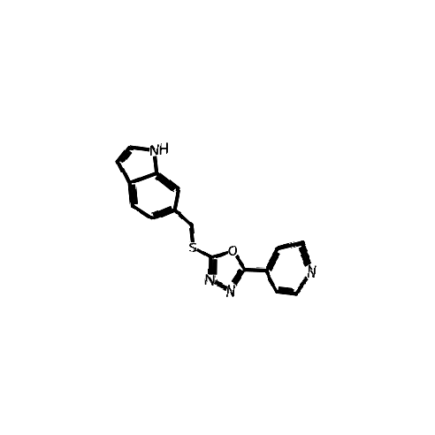 c1cc(-c2nnc(SCc3ccc4cc[nH]c4c3)o2)ccn1